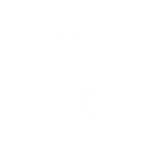 CCCCc1nc(=O)c(S(=O)(=O)c2ccc(-c3ccnc(F)c3C)cc2)c(O)n1C(C)c1ccccc1OC